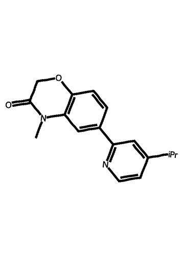 CC(C)c1ccnc(-c2ccc3c(c2)N(C)C(=O)CO3)c1